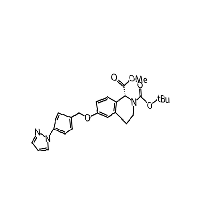 COC(=O)[C@H]1c2ccc(OCc3ccc(-n4cccn4)cc3)cc2CCN1C(=O)OC(C)(C)C